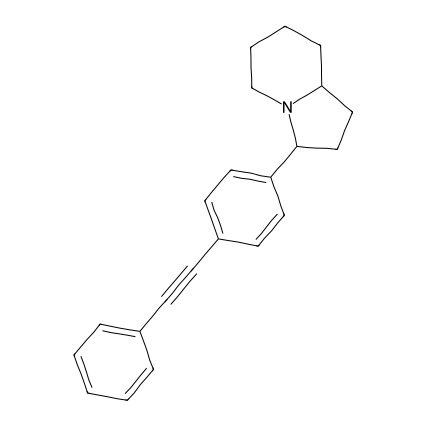 C(#Cc1ccc(C2CCC3CCCCN32)cc1)c1ccccc1